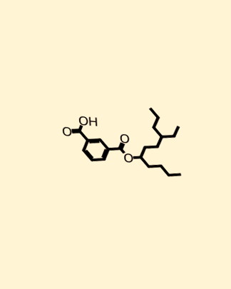 CCCCC(CCC(CC)CCC)OC(=O)c1cccc(C(=O)O)c1